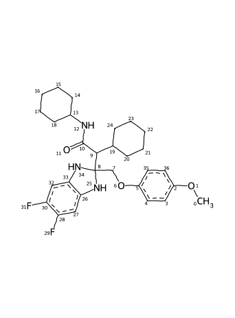 COc1ccc(OCC2(C(C(=O)NC3CCCCC3)C3CCCCC3)Nc3cc(F)c(F)cc3N2)cc1